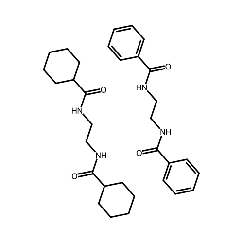 O=C(NCCNC(=O)C1CCCCC1)C1CCCCC1.O=C(NCCNC(=O)c1ccccc1)c1ccccc1